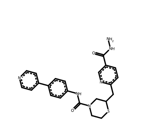 NNC(=O)c1ccc(CC2CN(C(=O)Nc3ccc(-c4ccncc4)cc3)CCS2)nc1